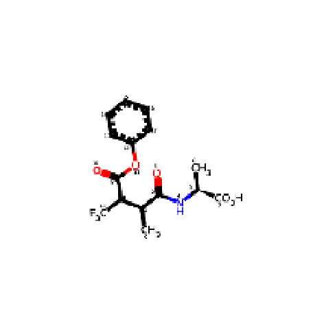 CC(C(=O)N[C@@H](C)C(=O)O)C(C(=O)Oc1ccccc1)C(F)(F)F